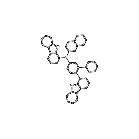 c1ccc(-c2cc(N(c3ccc4ccccc4c3)c3cccc4c3oc3ccccc34)ccc2-c2cccc3c2sc2ccccc23)cc1